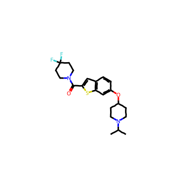 CC(C)N1CCC(Oc2ccc3cc(C(=O)N4CCC(F)(F)CC4)sc3c2)CC1